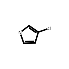 ClC1=C[N]C=C1